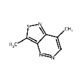 Cc1cnnc2c(C)snc12